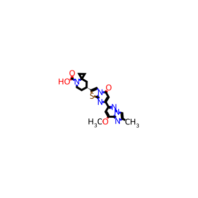 COc1cc(-c2cc(=O)n3cc([C@@H]4CCN(C(=O)O)C5(CC5)C4)sc3n2)nn2cc(C)nc12